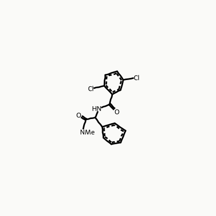 CNC(=O)C(NC(=O)c1cc(Cl)ccc1Cl)c1ccccc1